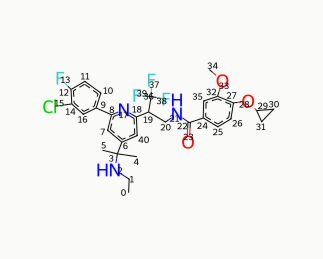 CCNC(C)(C)c1cc(-c2ccc(F)c(Cl)c2)nc(C(CNC(=O)c2ccc(OC3CC3)c(OC)c2)C(F)(F)F)c1